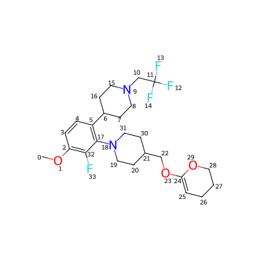 COc1ccc(C2CCN(CC(F)(F)F)CC2)c(N2CCC(COC3=CCCCO3)CC2)c1F